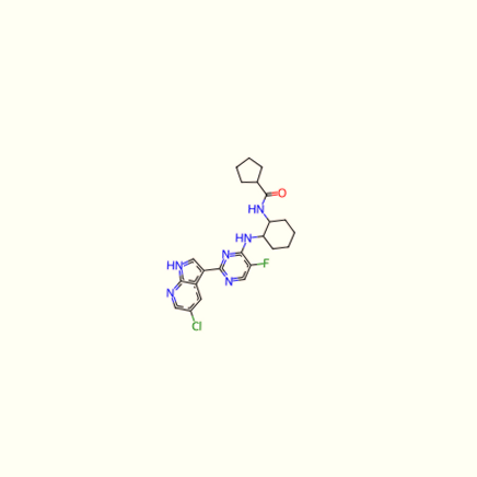 O=C(NC1CCCCC1Nc1nc(-c2c[nH]c3ncc(Cl)cc23)ncc1F)C1CCCC1